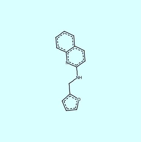 c1coc(CNc2ccc3ccccc3n2)c1